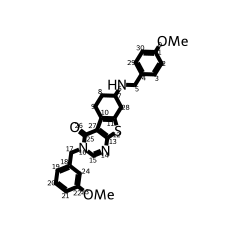 COc1ccc(CNC2CCc3c(sc4ncn(Cc5cccc(OC)c5)c(=O)c34)C2)cc1